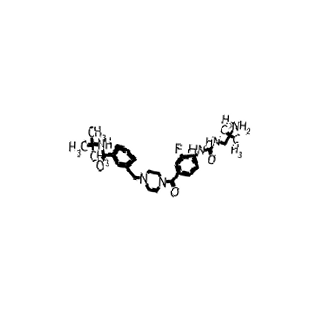 CC(C)(N)CNC(=O)Nc1ccc(C(=O)N2CCN(Cc3cccc(C(=O)NC(C)(C)C)c3)CC2)cc1F